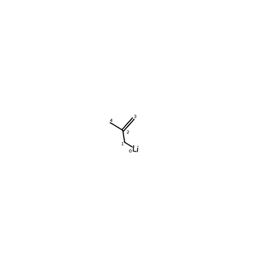 [Li][CH2]C(=C)C